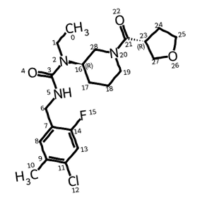 CCN(C(=O)NCc1cc(C)c(Cl)cc1F)[C@@H]1CCCN(C(=O)[C@@H]2CCOC2)C1